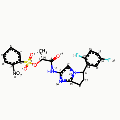 C[C@@H](OS(=O)(=O)c1ccccc1[N+](=O)[O-])C(=O)Nc1cn2c(n1)CCC2c1cc(F)ccc1F